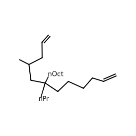 C=CCCCCC(CCC)(CCCCCCCC)CC(C)CC=C